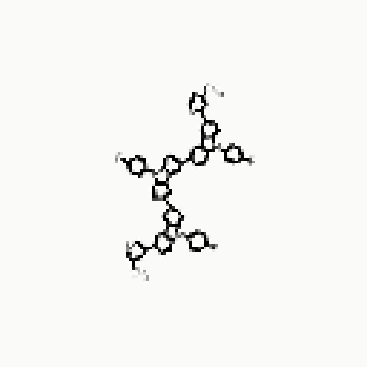 Cc1cncc(-c2ccc3c(c2)c2cc(-c4ccc5c(c4)c4cc(-c6ccc7c(c6)c6cc(-c8cc(C)ccn8)ccc6n7-c6ccc(F)cc6)ccc4n5-c4ccc(F)cc4)ccc2n3-c2ccc(F)cc2)c1